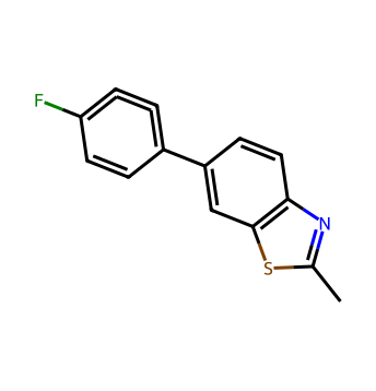 Cc1nc2ccc(C3=C=C=C(F)C=C3)cc2s1